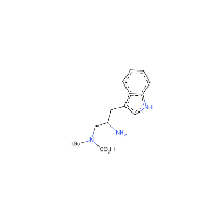 CC(C)(C)N(C[C@@H](N)Cc1c[nH]c2ccccc12)C(=O)O